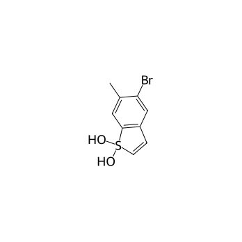 Cc1cc2c(cc1Br)C=CS2(O)O